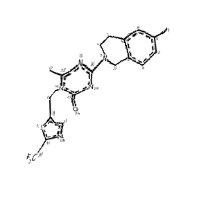 Cc1ccc2c(c1)CCN(c1nc(C)n(Cc3cnc(C(F)(F)F)s3)c(=O)n1)C2